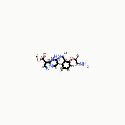 COC(=O)c1cnn2ccc(N[C@H](C)c3cc(F)ccc3O[C@@H](C)CN)nc12